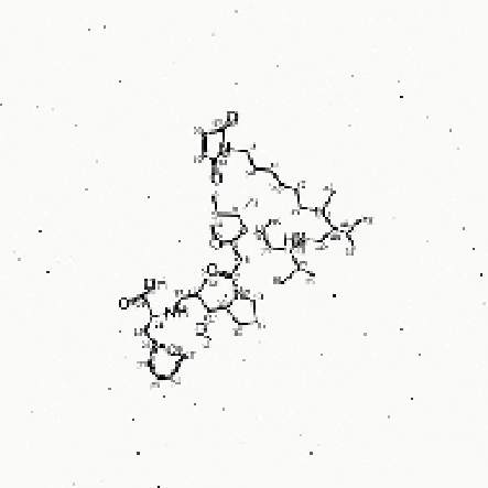 CC[C@H](C)[C@@H]([C@@H](CC(=O)N1CCC[C@H]1[C@H](OC)[C@H](C)CN[C@@H](Cc1ccccc1)C(=O)O)OC)N(C)C[C@@H](NC[C@H](C(C)C)N(C)CCCCCCN1C(=O)C=CC1=O)C(C)C